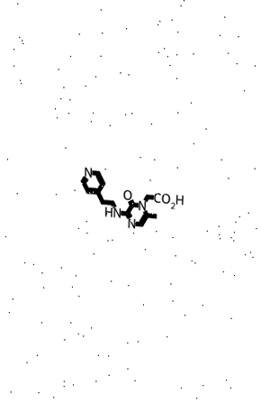 Cc1cnc(NCCc2ccncc2)c(=O)n1CC(=O)O